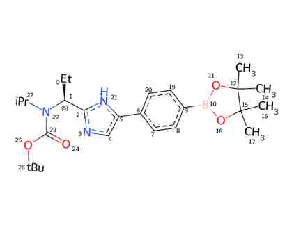 CC[C@@H](c1ncc(-c2ccc(B3OC(C)(C)C(C)(C)O3)cc2)[nH]1)N(C(=O)OC(C)(C)C)C(C)C